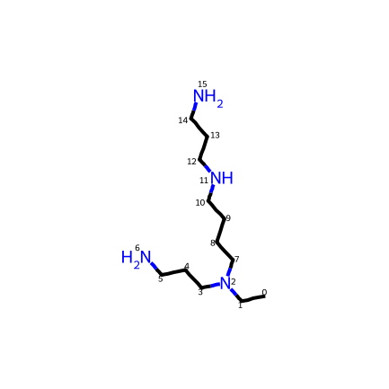 CCN(CCCN)CCCCNCCCN